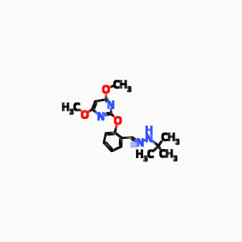 COc1cc(OC)nc(Oc2ccccc2/C=N/NC(C)(C)C)n1